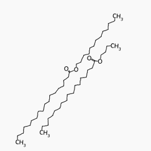 CCCCCCCCCCCCCCCCCC(=O)OCCCC.CCCCCCCCCCCCCCCCCC(=O)OCCCCCCCCCCCCC